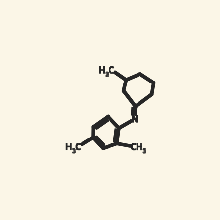 Cc1ccc(N=C2CCCC(C)C2)c(C)c1